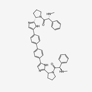 CN[C@@H](C(=O)N1CCCC1c1ncc(-c2ccc(-c3ccc(-c4cnc([C@@H]5CCCN5C(=O)[C@H](NC)c5ccccc5)[nH]4)cc3)cc2)[nH]1)c1ccccc1